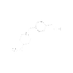 CSC1CCN(Cc2ccc(CO)cc2)CC1